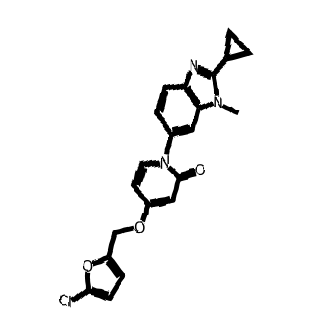 Cn1c(C2CC2)nc2ccc(-n3ccc(OCc4ccc(Cl)o4)cc3=O)cc21